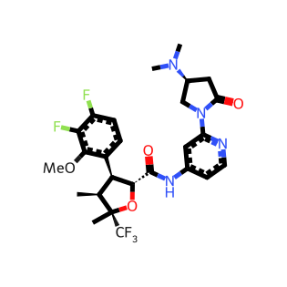 COc1c([C@H]2[C@H](C(=O)Nc3ccnc(N4C[C@@H](N(C)C)CC4=O)c3)O[C@@](C)(C(F)(F)F)[C@H]2C)ccc(F)c1F